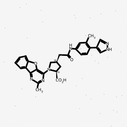 Cc1nc(N2C[C@@H](CC(=O)Nc3ccc(-c4cn[nH]c4)c(C)c3)C[C@H]2C(=O)O)c2oc3ccccc3c2n1